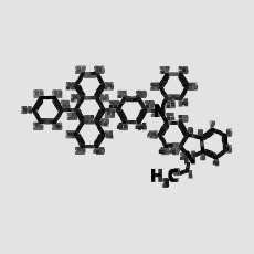 CCn1c2ccccc2c2cc(N(c3ccccc3)c3ccc(-c4c5ccccc5c(-c5ccccc5)c5ccccc45)cc3)ccc21